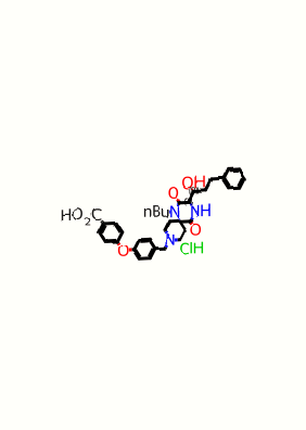 CCCCN1C(=O)[C@@H]([C@H](O)CCc2ccccc2)NC(=O)C12CCN(Cc1ccc(Oc3ccc(C(=O)O)cc3)cc1)CC2.Cl